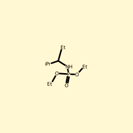 CCOP(=O)(NC(CC)C(C)C)OCC